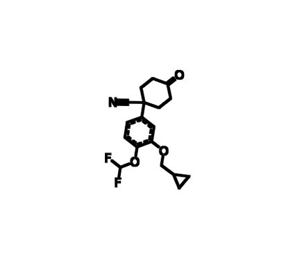 N#CC1(c2ccc(OC(F)F)c(OCC3CC3)c2)CCC(=O)CC1